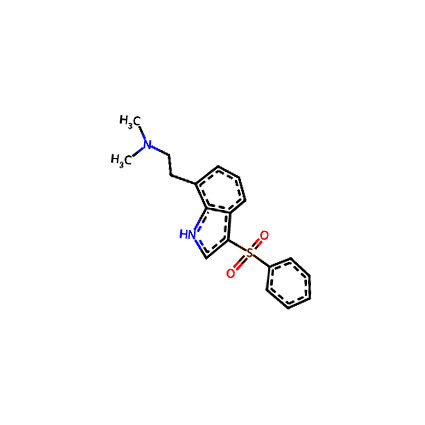 CN(C)CCc1cccc2c(S(=O)(=O)c3ccccc3)c[nH]c12